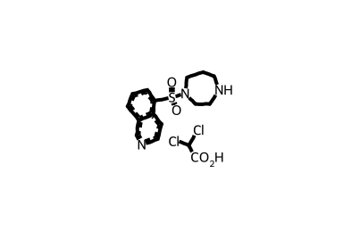 O=C(O)C(Cl)Cl.O=S(=O)(c1cccc2cnccc12)N1CCCNCC1